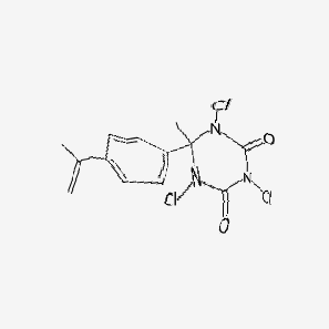 C=C(C)c1ccc(C2(C)N(Cl)C(=O)N(Cl)C(=O)N2Cl)cc1